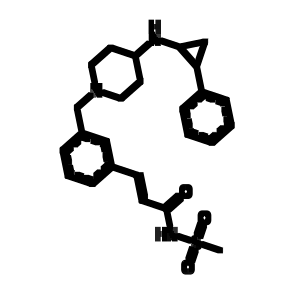 CS(=O)(=O)NC(=O)/C=C/c1cccc(CN2CCC(NC3CC3c3ccccc3)CC2)c1